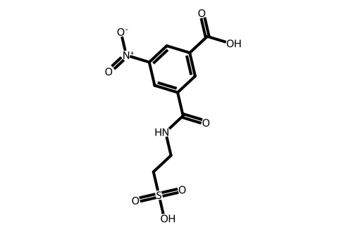 O=C(O)c1cc(C(=O)NCCS(=O)(=O)O)cc([N+](=O)[O-])c1